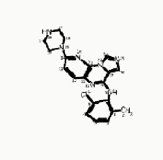 Cc1cccc(Cl)c1Nc1nc2ccc(N3CCNCC3)nc2n2cncc12